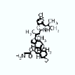 CC(C)[C@@H](NC(=O)C[C@@H](C)[C@H]1CC[C@H]2[C@@H]3[C@H](OC(=O)CN)C[C@@H]4CC(=O)CC[C@]4(C)[C@H]3CC[C@]12C)c1ccc(Cl)s1